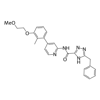 COCCOc1cccc(-c2ccnc(NC(=O)c3nnc(Cc4ccccc4)[nH]3)c2)c1C